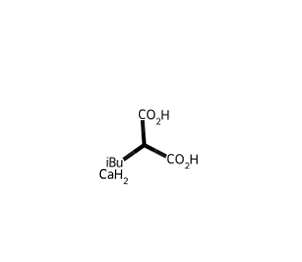 CCC(C)C(C(=O)O)C(=O)O.[CaH2]